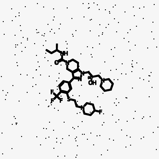 CCC(C)NC(=O)N1CCc2c(c(-c3ccc(C(F)(F)F)c(SCCN4CCC(F)CC4)c3)nn2C[C@@H](O)CN2CCCCC2)C1